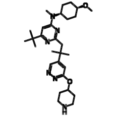 CO[C@H]1CC[C@@H](N(C)c2cc(C(C)(C)C)nc(CC(C)(C)c3cnnc(OC4CCNCC4)c3)n2)CC1